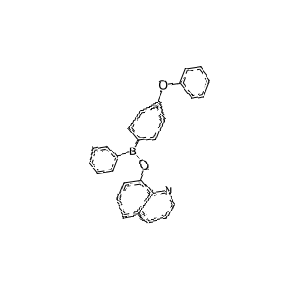 c1ccc(Oc2ccc(B(Oc3cccc4cccnc34)c3ccccc3)cc2)cc1